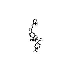 CC(C)N1CCN(C(=O)c2cc3cc(OCCC4CCCN4C)ccc3[nH]2)CC1